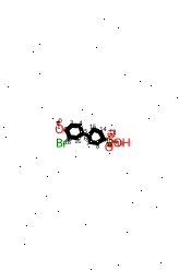 COc1ccc(-c2ccc(S(=O)(=O)O)cc2)cc1Br